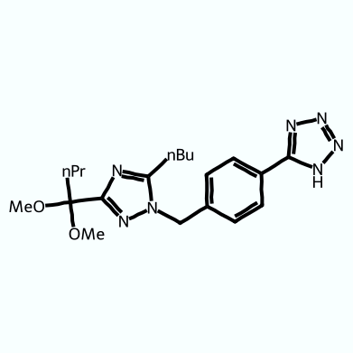 CCCCc1nc(C(CCC)(OC)OC)nn1Cc1ccc(-c2nnn[nH]2)cc1